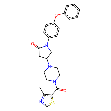 Cc1ncsc1C(=O)N1CCN(C2CC(=O)N(c3ccc(Oc4ccccc4)cc3)C2)CC1